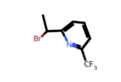 CC(Br)c1cccc(C(F)(F)F)n1